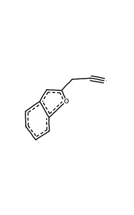 [C]#CCc1cc2ccccc2o1